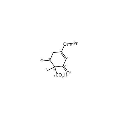 CC(C)OC1=CC(=O)C(C)(C(=O)O)C(C)C1